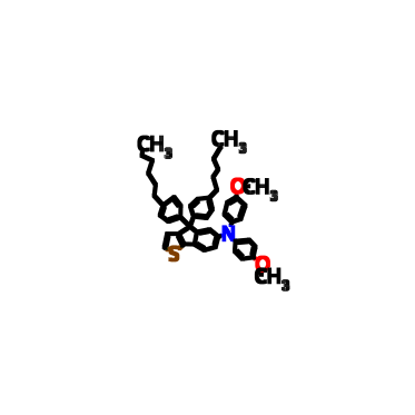 CCCCCCc1ccc(C2(c3ccc(CCCCCC)cc3)c3cc(N(c4ccc(OC)cc4)c4ccc(OC)cc4)ccc3-c3sccc32)cc1